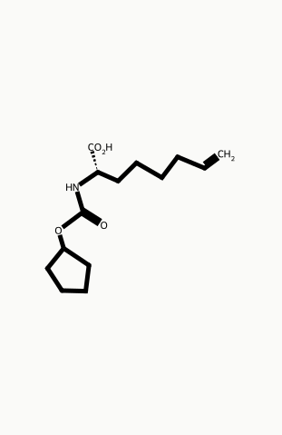 C=CCCCC[C@H](NC(=O)OC1CCCC1)C(=O)O